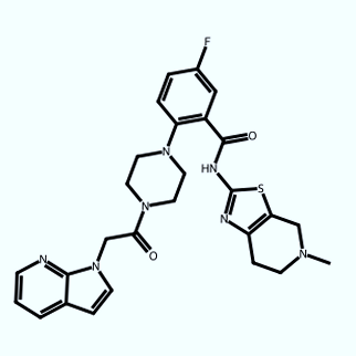 CN1CCc2nc(NC(=O)c3cc(F)ccc3N3CCN(C(=O)Cn4ccc5cccnc54)CC3)sc2C1